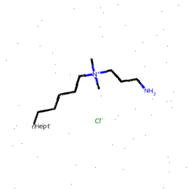 CCCCCCCCCCCC[N+](C)(C)CCCN.[Cl-]